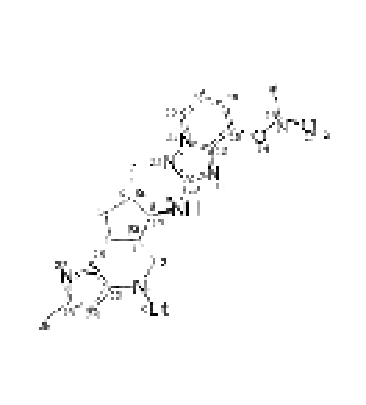 CCN(C[C@@H]1CC[C@H](C)[C@H]1Nc1nc2c(O[C@@H](C)C(F)(F)F)cccn2n1)c1cc(C)ns1